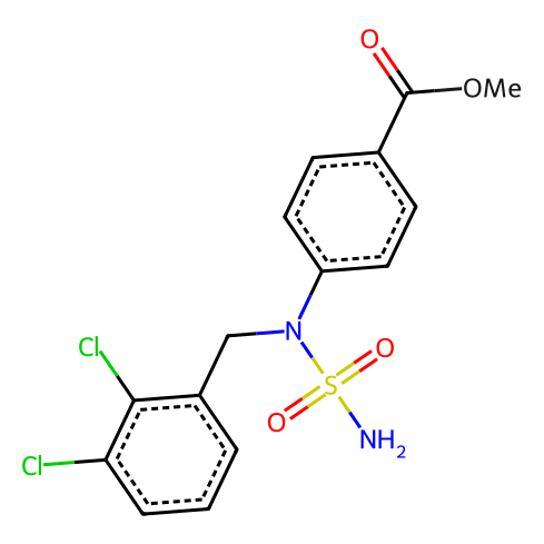 COC(=O)c1ccc(N(Cc2cccc(Cl)c2Cl)S(N)(=O)=O)cc1